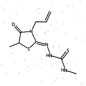 C=CCN1C(=O)C(C)SC1=NNC(=S)NC